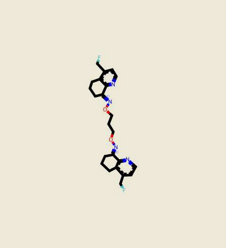 FCc1ccnc2c1CCC/C2=N\OCCCO/N=C1\CCCc2c(CF)ccnc21